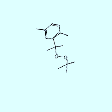 Cc1ccc(C)c(C(C)(C)OOC(C)(C)C)c1